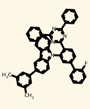 Cc1cc(C)cc(-c2ccc3c(c2)c2ccccc2n3-c2cc(-c3ccccc3F)ccc2-c2nc(-c3ccccc3)nc(-c3ccccc3)n2)c1